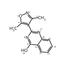 Cc1noc(C)c1-c1nc(O)c2ccccc2n1